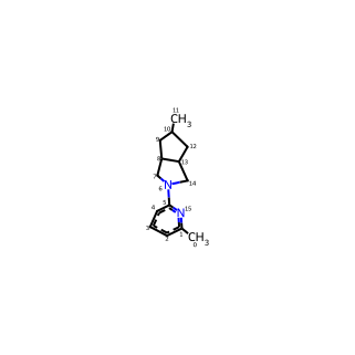 Cc1cccc(N2CC3CC(C)CC3C2)n1